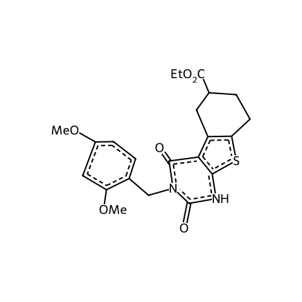 CCOC(=O)C1CCc2sc3[nH]c(=O)n(Cc4ccc(OC)cc4OC)c(=O)c3c2C1